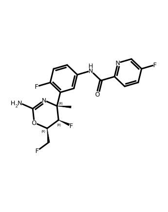 C[C@]1(c2cc(NC(=O)c3ccc(F)cn3)ccc2F)N=C(N)O[C@H](CF)[C@@H]1F